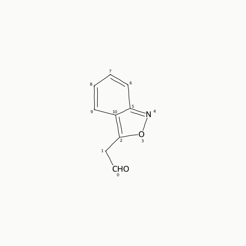 O=CCc1onc2ccccc12